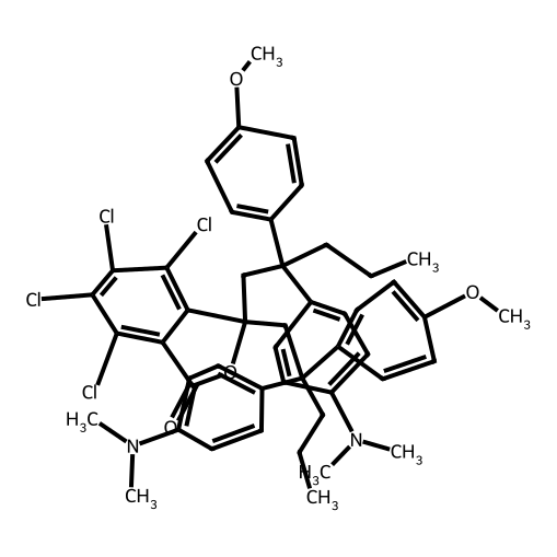 CCCC(CC1(CC(CCC)(c2ccc(OC)cc2)c2ccc(N(C)C)cc2)OC(=O)c2c(Cl)c(Cl)c(Cl)c(Cl)c21)(c1ccc(OC)cc1)c1ccc(N(C)C)cc1